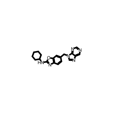 c1ncc2ncn(Cc3ccc4nc(NC5CCCCC5)oc4c3)c2n1